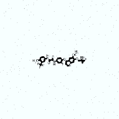 COc1cc2c(Oc3ccc(NC(=O)C(=O)Nc4ccc(C)c(C(F)(F)F)c4)cc3F)ccnc2cc1OCC1(N)CC1